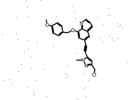 COc1ccc(COc2cc(C#Cc3cc(CCl)nn3C)cc3cccnc23)cc1